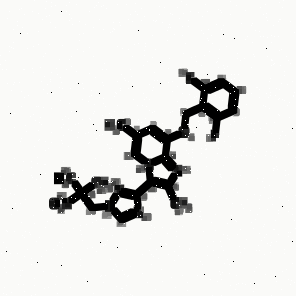 Cc1cc(OCc2c(F)cccc2F)c2nc(C)c(-c3ncn(CC(C)(C)[N+](=O)[O-])n3)n2c1